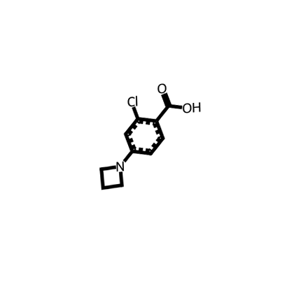 O=C(O)c1ccc(N2CCC2)cc1Cl